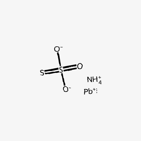 O=S([O-])([O-])=S.[NH4+].[Pb+]